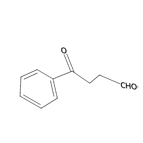 O=[C]CCC(=O)c1ccccc1